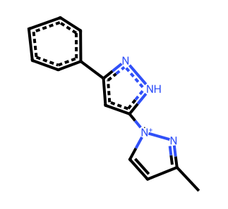 CC1=N[N+](c2cc(-c3ccccc3)n[nH]2)C=C1